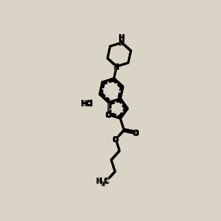 CCCCOC(=O)c1cc2cc(N3CCNCC3)ccc2o1.Cl